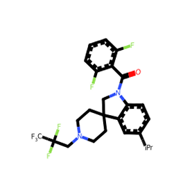 CC(C)c1ccc2c(c1)C1(CCN(CC(F)(F)C(F)(F)F)CC1)CN2C(=O)c1c(F)cccc1F